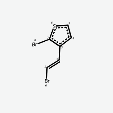 Br/C=C/c1ccsc1Br